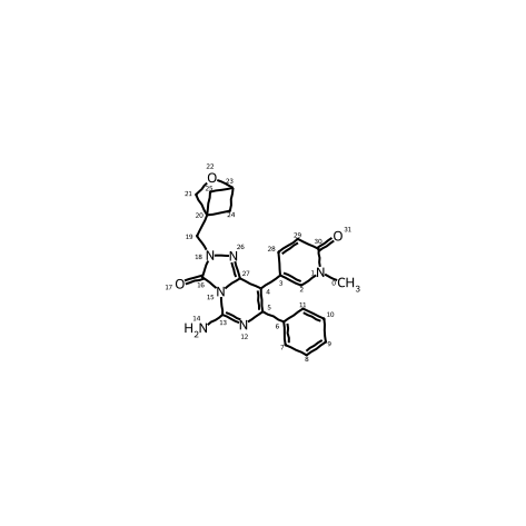 Cn1cc(-c2c(-c3ccccc3)nc(N)n3c(=O)n(CC45COC(C4)C5)nc23)ccc1=O